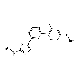 CCCNc1ncc(-c2cc(-c3ccc(OCCC)cc3C)ncn2)s1